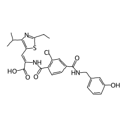 CCc1nc(C(C)C)c(C=C(NC(=O)c2ccc(C(=O)NCc3cccc(O)c3)cc2Cl)C(=O)O)s1